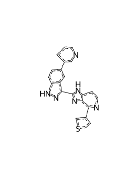 c1cncc(-c2ccc3[nH]nc(-c4nc5c(-c6ccsc6)nccc5[nH]4)c3c2)c1